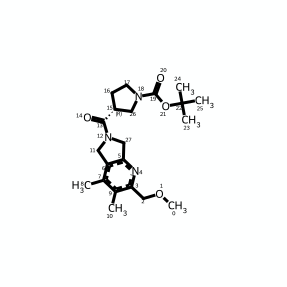 COCc1nc2c(c(C)c1C)CN(C(=O)[C@@H]1CCN(C(=O)OC(C)(C)C)C1)C2